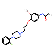 COc1cc(NC(C)=O)ccc1OCCCN1CCN(c2ccccc2F)CC1